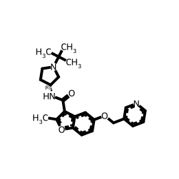 Cc1oc2ccc(OCc3cccnc3)cc2c1C(=O)N[C@@H]1CCN(C(C)(C)C)C1